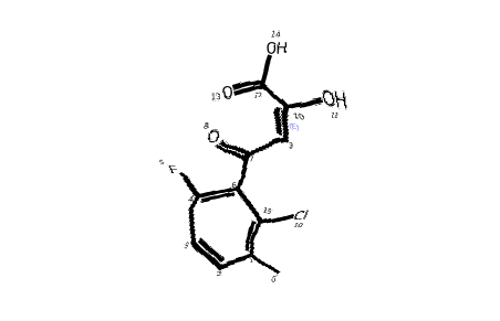 Cc1ccc(F)c(C(=O)/C=C(/O)C(=O)O)c1Cl